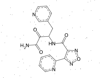 NC(=O)C(=O)C(Cc1cccnc1)NC(=O)c1nonc1-c1ccccn1